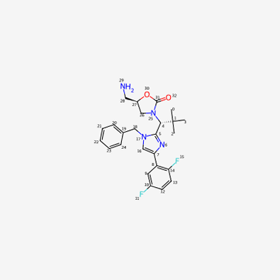 CC(C)(C)[C@H](c1nc(-c2cc(F)ccc2F)cn1Cc1ccccc1)N1C[C@@H](CN)OC1=O